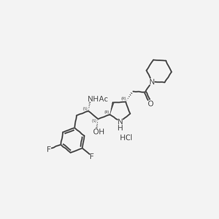 CC(=O)N[C@@H](Cc1cc(F)cc(F)c1)[C@@H](O)[C@H]1C[C@H](CC(=O)N2CCCCC2)CN1.Cl